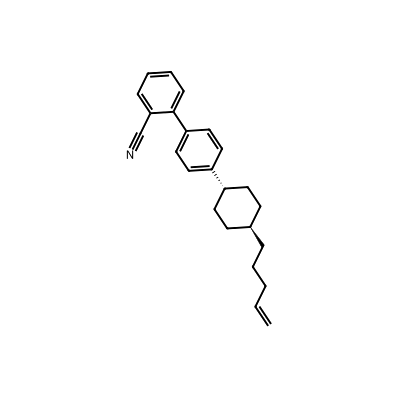 C=CCCC[C@H]1CC[C@H](c2ccc(-c3ccccc3C#N)cc2)CC1